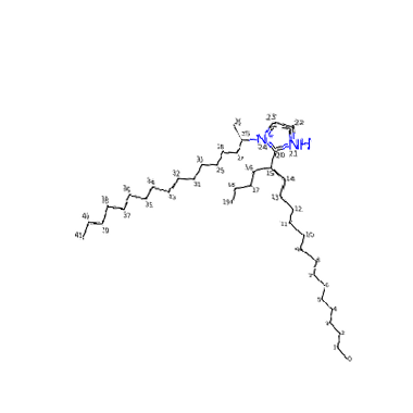 CCCCCCCCCCCCCCCC(CCCC)c1[nH]cc[n+]1C(C)CCCCCCCCCCCCCCC